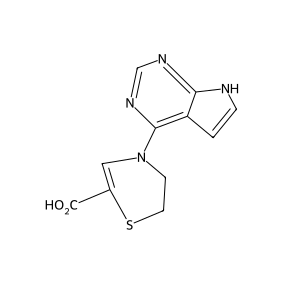 O=C(O)C1=CN(c2ncnc3[nH]ccc23)CCS1